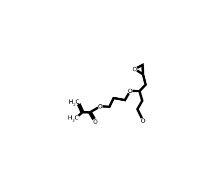 C=C(C)C(=O)OCCCOC(CC[O])CC1CO1